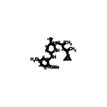 C=C(/C=C(\C)C1CC1)NC1=C(Br)C=NC(Nc2cc(C)ccc2OC)N1